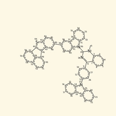 CN1c2ccccc2C(c2ccc(-n3c4ccccc4c4ccccc43)cc2)=NC1n1c2ccccc2c2cc(-c3ccc4sc5c(c4c3)-c3cccc4cccc-5c34)ccc21